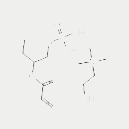 C=CC(=O)OC(CC)COP(=O)(O)O.C[N+](C)(C)CCO